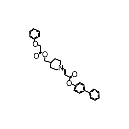 O=C(C=CN1CCC(COC(=O)COc2ccccc2)CC1)Oc1ccc(-c2ccccc2)cc1